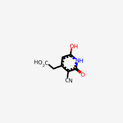 N#Cc1c(CC(=O)O)cc(O)[nH]c1=O